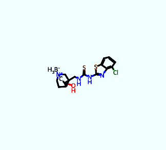 [BH3-][N+]12CCC(CC1)C(O)(CNC(=S)Nc1nc3c(Cl)cccc3s1)C2